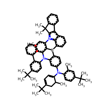 Cc1cc2c3c(c1)-n1c4c(c5cccc(c51)B3c1ccc(N(C3=CC=C(C(C)(C)C)CC3C)c3ccc(C(C)(C)C)cc3C)cc1N2c1ccc(C(C)(C)C)cc1-c1ccccc1)-c1ccccc1C4(C)C